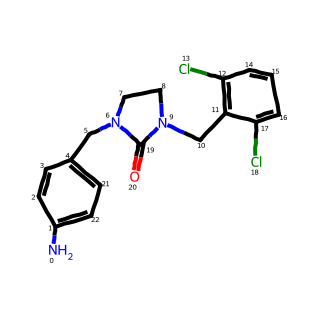 Nc1ccc(CN2CCN(Cc3c(Cl)cccc3Cl)C2=O)cc1